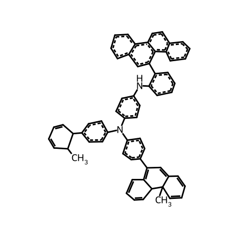 CC1C=CC=CC1c1ccc(N(c2ccc(Nc3ccccc3-c3cc4ccccc4c4ccc5ccccc5c34)cc2)c2ccc(C3=C4C=CC=CC4C4(C)C=CC=CC4=C3)cc2)cc1